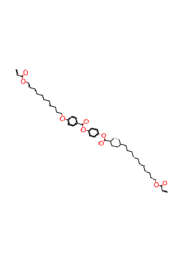 C=CC(=O)OCCCCCCCCCCCOc1ccc(C(=O)Oc2ccc(OC(=O)C3CCC(CCCCCCCCCCCOC(=O)C=C)CC3)cc2)cc1